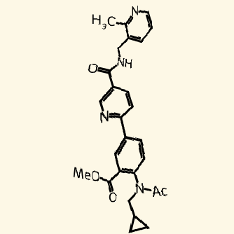 COC(=O)c1cc(-c2ccc(C(=O)NCc3cccnc3C)cn2)ccc1N(CC1CC1)C(C)=O